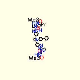 COC(=O)NCC(=O)N1CCC[C@H]1c1nc2cc([C@H]3CC[C@H](c4ccc5[nH]c([C@@H]6CCCN6C(=O)C(NC(=O)OC)C(C)C)nc5c4)N3c3ccc(-c4ccccc4)cc3)ccc2[nH]1